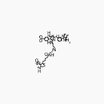 CNC1CSC(CCCCC(=O)NCCCN(C)CCCNc2nc(Cc3cccc(C(N)(N)C(F)(F)F)c3)nc3[nH]c4cc(C(=O)OC)ccc4c23)C1NC=O